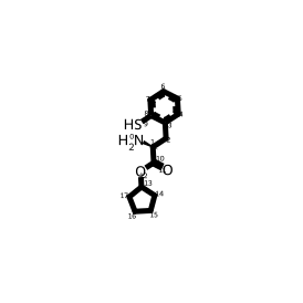 N[C@@H](Cc1ccccc1S)C(=O)OC1CCCC1